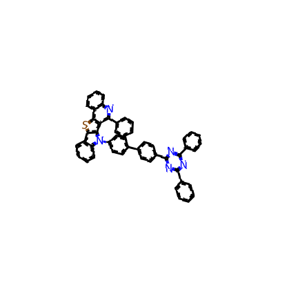 c1ccc(-c2nc(-c3ccccc3)nc(-c3ccc(-c4ccc(-n5c6ccccc6c6sc7c8ccccc8nc(-c8ccccc8)c7c65)cc4)cc3)n2)cc1